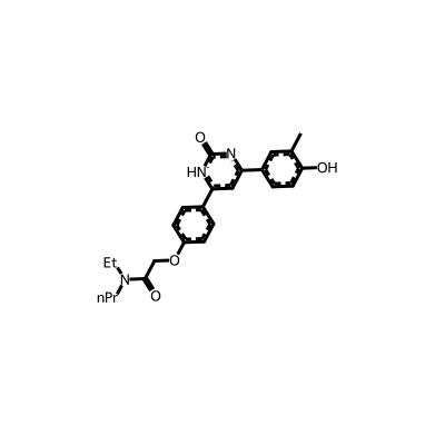 CCCN(CC)C(=O)COc1ccc(-c2cc(-c3ccc(O)c(C)c3)nc(=O)[nH]2)cc1